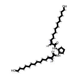 O=C(N[C@@H]1CCC[C@@H]1NC(=O)/C(F)=C\CCCCCCCCCCCO)/C(F)=C/CCCCCCCCCCCO